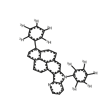 [2H]c1c([2H])c([2H])c(-c2ccc3ccc4c5c(ccc2c35)cc2c4c3ncccc3n2-c2c([2H])c([2H])c([2H])c([2H])c2[2H])c([2H])c1[2H]